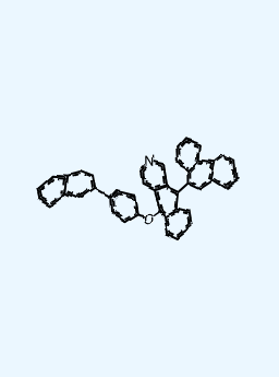 c1ccc2cc(-c3ccc(Oc4c5ccccc5c(-c5cc6ccccc6c6ccccc56)c5cnccc45)cc3)ccc2c1